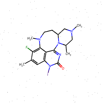 Cc1cc2c3c(nc(=O)n2I)N2C(C)CN(C)CC2CCN(C)c3c1F